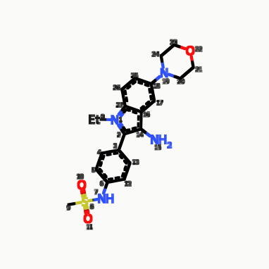 CCn1c(-c2ccc(NS(C)(=O)=O)cc2)c(N)c2cc(N3CCOCC3)ccc21